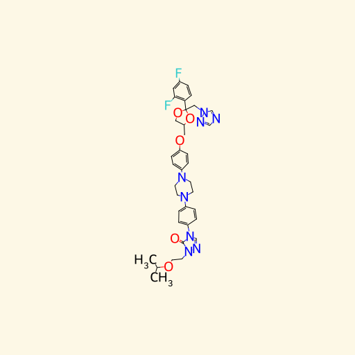 CC(C)OCCn1ncn(-c2ccc(N3CCN(c4ccc(OCC5COC(Cn6cncn6)(c6ccc(F)cc6F)O5)cc4)CC3)cc2)c1=O